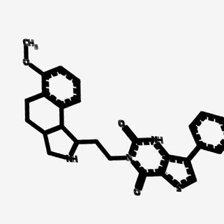 COc1cccc2c1CCC1CNC(CCn3c(=O)[nH]c4c(-c5ccccc5)csc4c3=O)C21